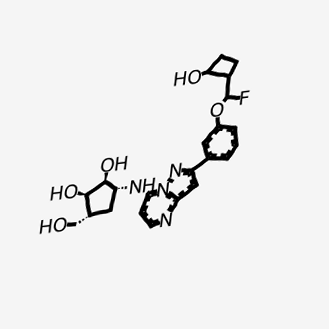 OC[C@H]1C[C@@H](Nc2ccnc3cc(-c4cccc(OC(F)C5CCC5O)c4)nn23)[C@H](O)[C@@H]1O